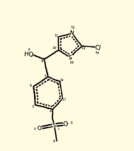 CS(=O)(=O)c1ccc(C(O)c2cnc(Cl)s2)cc1